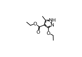 CCOC(=O)c1c(OCC)n[nH]c1C